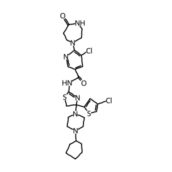 O=C1CCN(c2ncc(C(=O)NC3=NC(c4cc(Cl)cs4)(N4CCN(C5CCCCC5)CC4)CS3)cc2Cl)CCN1